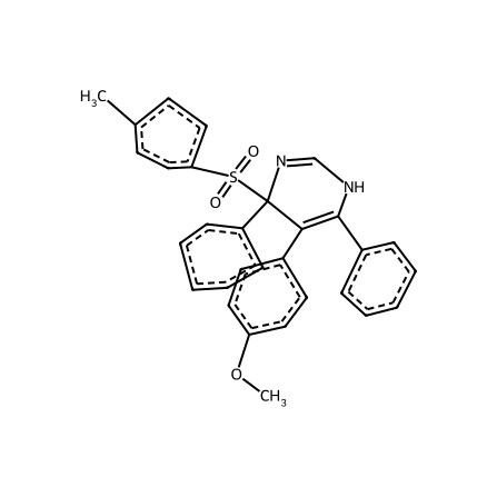 COc1ccc(C2=C(c3ccccc3)NC=NC2(c2ccccc2)S(=O)(=O)c2ccc(C)cc2)cc1